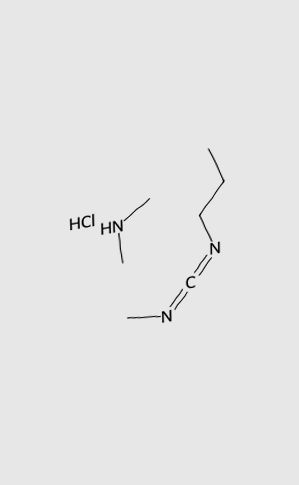 CCCN=C=NC.CNC.Cl